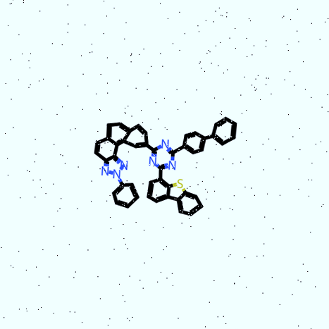 c1ccc(-c2ccc(-c3nc(-c4ccc5ccc6ccc7nn(-c8ccccc8)nc7c6c5c4)nc(-c4cccc5c4sc4ccccc45)n3)cc2)cc1